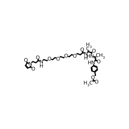 CC(=O)OCc1ccc(NC(=O)[C@H](C)NC(=O)[C@H](C)NC(=O)CCOCCOCCOCCOCCNC(=O)CCN2C(=O)C=CC2=O)cc1